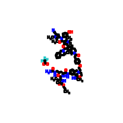 C=CCOC(=O)N[C@H](C(=O)N[C@@H](CCCNC(N)=O)C(=O)Nc1ccc(C[N+]2(CCOc3ccc(CC(=O)N4CCc5cc(-c6cc(C(=O)N(c7ccc(O)cc7)c7cc(C#N)n(C)c7C)c(C)n6C)c(C(=O)N6Cc7ccccc7C[C@H]6C)cc5C4)cc3)CCOCC2)c(CNC)c1)C(C)C.O=C([O-])C(F)(F)F